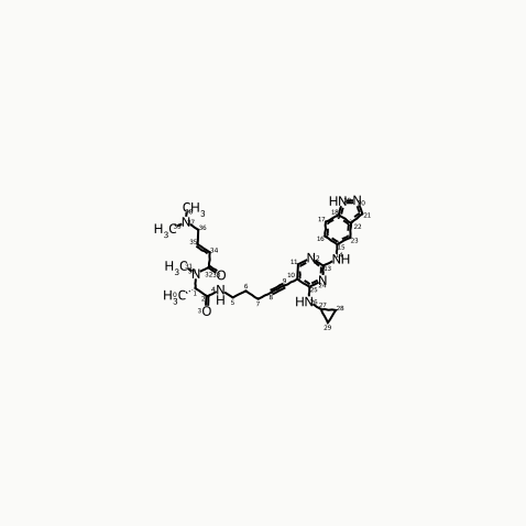 C[C@@H](C(=O)NCCCC#Cc1cnc(Nc2ccc3[nH]ncc3c2)nc1NC1CC1)N(C)C(=O)/C=C/CN(C)C